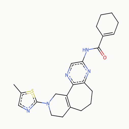 Cc1cnc(N2CCC3=C(C2)c2ncc(NC(=O)C4=CCCCC4)nc2CCC3)s1